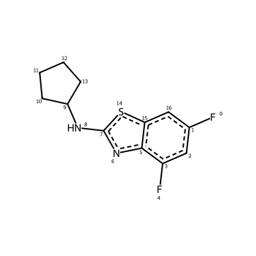 Fc1cc(F)c2nc(NC3CCCC3)sc2c1